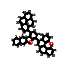 c1ccc2cc3c(cc2c1)oc1c(-c2cc4ccc5cccc6c5c4c4c(cccc24)O6)ccc(-c2ccc4ccc5cccc6ccc2c4c56)c13